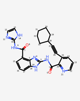 O=C(Nc1nc2c(C(=O)Nc3ncc[nH]3)cccc2[nH]1)c1ncccc1C#CC1CCCCC1